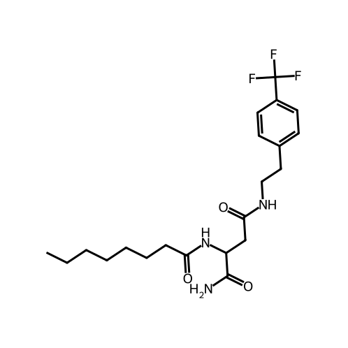 CCCCCCCC(=O)NC(CC(=O)NCCc1ccc(C(F)(F)F)cc1)C(N)=O